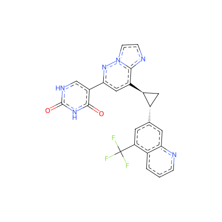 O=c1[nH]cc(-c2cc([C@H]3C[C@@H]3c3cc(C(F)(F)F)c4cccnc4c3)c3nccn3n2)c(=O)[nH]1